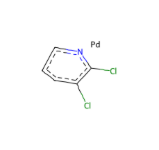 Clc1cccnc1Cl.[Pd]